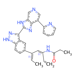 C=C/C(=C\C(=C/C)c1ccc2[nH]nc(-c3nc4c(-c5ccccn5)cncc4[nH]3)c2c1)NC(=O)CC